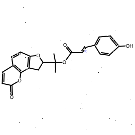 CC(C)(OC(=O)/C=C/c1ccc(O)cc1)C1Cc2c(ccc3ccc(=O)oc23)O1